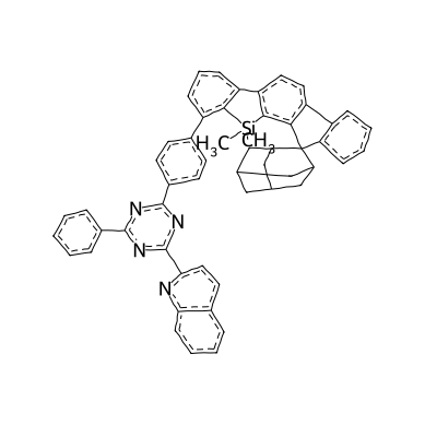 C[Si]1(C)c2c(-c3ccc(-c4nc(-c5ccccc5)nc(-c5ccc6ccccc6n5)n4)cc3)cccc2-c2ccc3c(c21)C1(c2ccccc2-3)C2CC3CC(C2)CC1C3